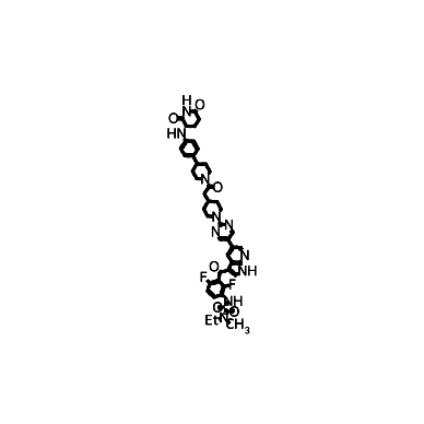 CCN(C)S(=O)(=O)Nc1ccc(F)c(C(=O)c2c[nH]c3ncc(-c4cnc(N5CCC(CC(=O)N6CCC(c7ccc(N[C@H]8CCC(=O)NC8=O)cc7)CC6)CC5)nc4)cc23)c1F